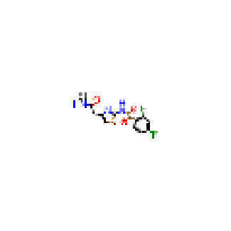 CCNC(=O)Cc1csc(NS(=O)(=O)c2ccc(F)cc2F)n1